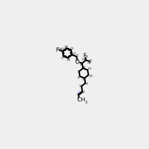 C/C=C/CCC1CCC(C(OCc2ccc(F)cc2)C(F)F)CC1